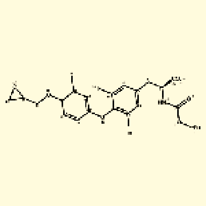 CC(C)(C)OC(=O)N[C@@H](Cc1cc(I)c(OC2=CC(I)C(OCC3CO3)C=C2)c(I)c1)C(=O)O